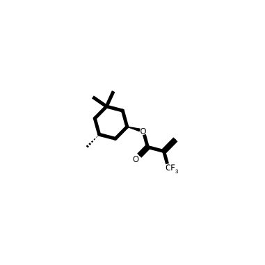 C=C(C(=O)O[C@H]1C[C@H](C)CC(C)(C)C1)C(F)(F)F